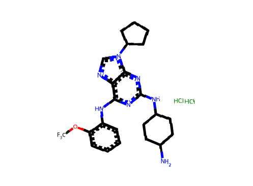 Cl.Cl.NC1CCC(Nc2nc(Nc3ccccc3OC(F)(F)F)c3ncn(C4CCCC4)c3n2)CC1